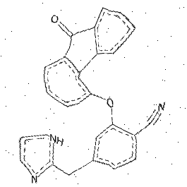 N#Cc1ccc(Cc2ncc[nH]2)cc1Oc1cccc2c1-c1ccccc1C2=O